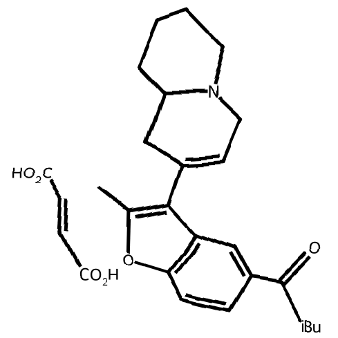 CCC(C)C(=O)c1ccc2oc(C)c(C3=CCN4CCCCC4C3)c2c1.O=C(O)/C=C/C(=O)O